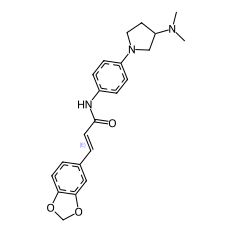 CN(C)C1CCN(c2ccc(NC(=O)/C=C/c3ccc4c(c3)OCO4)cc2)C1